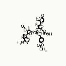 CC(=O)Oc1ccc(CSP(=O)(OC[C@H]2O[C@@H](n3cnc4c(N)ncnc43)[C@H](OC=O)[C@@H]2F)O[C@H]2[C@@H](F)[C@H](n3ccc(=O)[nH]c3=O)O[C@@H]2COPO)cc1